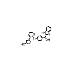 OC1C=C(c2cccnc2Oc2ccc(C(O)c3nc4ccccc4[nH]3)cc2)CC1